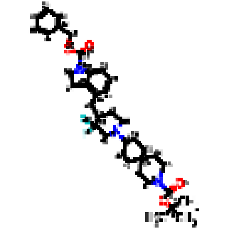 CC(C)(C)OC(=O)N1CCC2(CCC(N3CCC(Cc4cccc5c4CCN5C(=O)OCc4ccccc4)C(F)(F)C3)CC2)CC1